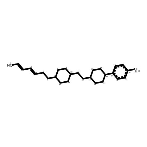 N#CC=CC=CCCC1CCC(CCC2CCC(c3ccc(C(F)(F)F)cc3)CC2)CC1